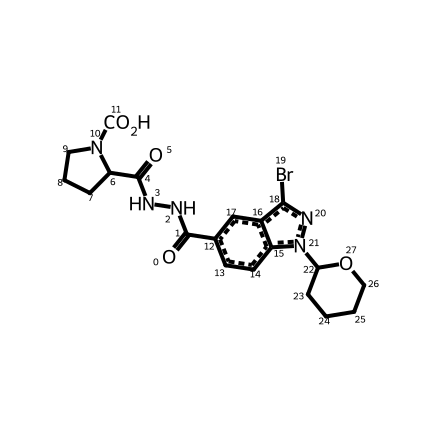 O=C(NNC(=O)C1CCCN1C(=O)O)c1ccc2c(c1)c(Br)nn2C1CCCCO1